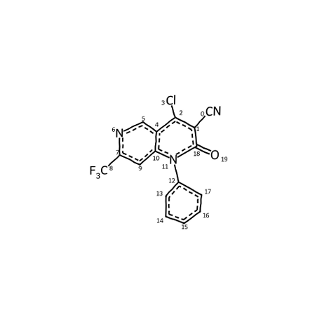 N#Cc1c(Cl)c2cnc(C(F)(F)F)cc2n(-c2ccccc2)c1=O